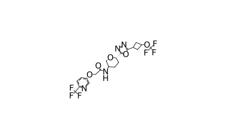 O=C(COc1ccc(C(F)(F)F)nc1)N[C@@H]1CC[C@@H](c2nnc(C3CC(OC(F)(F)F)C3)o2)OC1